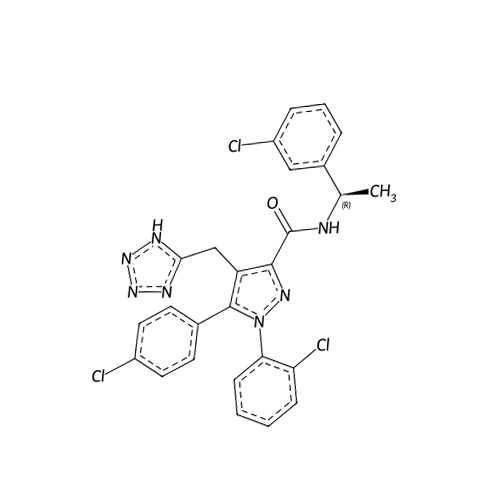 C[C@@H](NC(=O)c1nn(-c2ccccc2Cl)c(-c2ccc(Cl)cc2)c1Cc1nnn[nH]1)c1cccc(Cl)c1